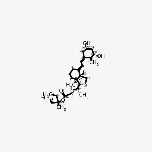 C=C1C(=CC=C2CCC[C@]3(C)[C@@H]([C@H](C)OCC(=O)OC(C)(CC)CC)CC[C@@H]23)C[C@@H](O)C[C@@H]1O